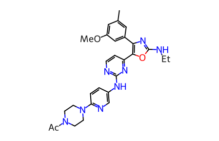 CCNc1nc(-c2cc(C)cc(OC)c2)c(-c2ccnc(Nc3ccc(N4CCN(C(C)=O)CC4)nc3)n2)o1